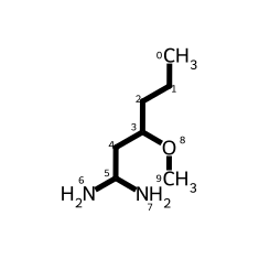 CCCC(CC(N)N)OC